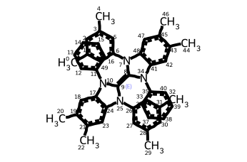 Cc1cc(C)cc(N2/C(=C3\N(c4ccccc4)c4cc(C)c(C)cc4N3c3cc(C)cc(C)c3)N(c3ccccc3)c3cc(C)c(C)cc32)c1